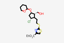 CCOC(=O)c1csc(SCCC2[C@H](Cl)C[C@@H](OC3CCCCO3)[C@@H]2CO)n1